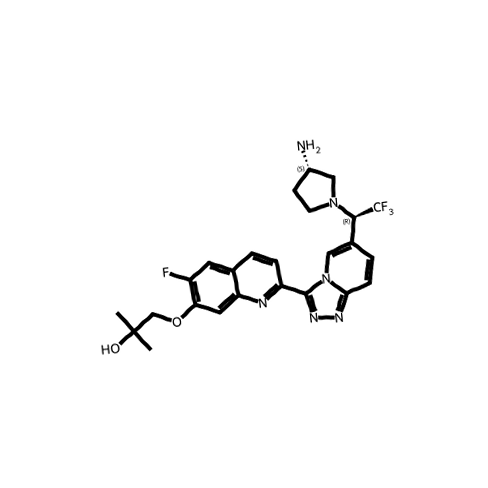 CC(C)(O)COc1cc2nc(-c3nnc4ccc([C@@H](N5CC[C@H](N)C5)C(F)(F)F)cn34)ccc2cc1F